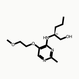 CCC[C@@H](CO)Nc1nc(C)ncc1OCCOC